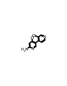 Nc1cc(Cl)c(-c2ccncc2Cl)cn1